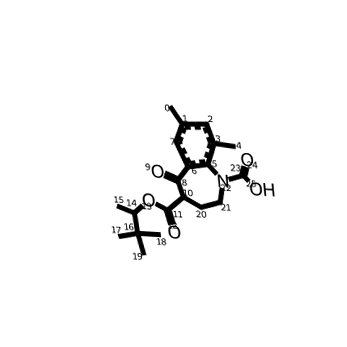 Cc1cc(C)c2c(c1)C(=O)C(C(=O)OC(C)C(C)(C)C)CCN2C(=O)O